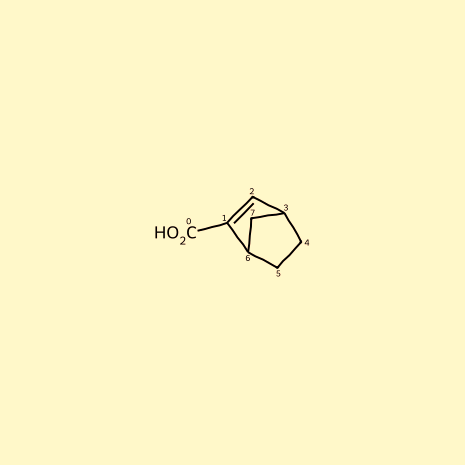 O=C(O)C1=CC2CCC1C2